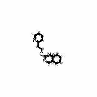 c1ccc(CCOc2ncc3ccccc3n2)nc1